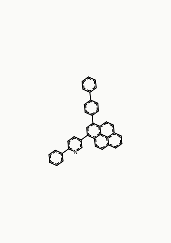 c1ccc(-c2ccc(-c3cc(-c4ccc(-c5ccccc5)nc4)c4ccc5cccc6ccc3c4c65)cc2)cc1